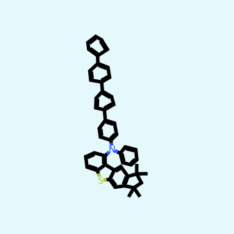 CC1(C)CC(C)(C)c2cc3c(cc21)sc1cccc(N(c2ccccc2)c2ccc(-c4ccc(-c5ccc(-c6ccccc6)cc5)cc4)cc2)c13